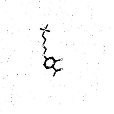 CC(=O)c1ccc(OCOCCS(C)(C)C)cc1Cl